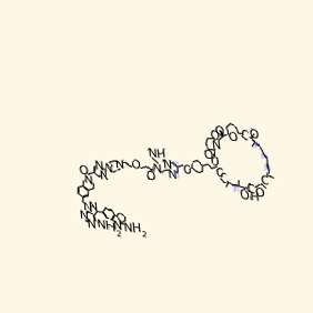 C=N/C=C(\C=N/CCN(CCNC)C(=O)CCOCCN1CCN(c2ncc(C(=O)N3CCc4cc(Cn5nc(-c6ccc7oc(N)nc7c6)c6c(N)ncnc65)ccc4C3)cn2)CC1)COC1CCC(CCC2CCC(C)/C=C(\C)C(O)CC(=O)C(C)CC(C)/C=C/C=C/C=C(\C)C(OC)CC3CCCC(O3)C(=O)C(=O)N3CCCCC3C(=O)O2)CC1